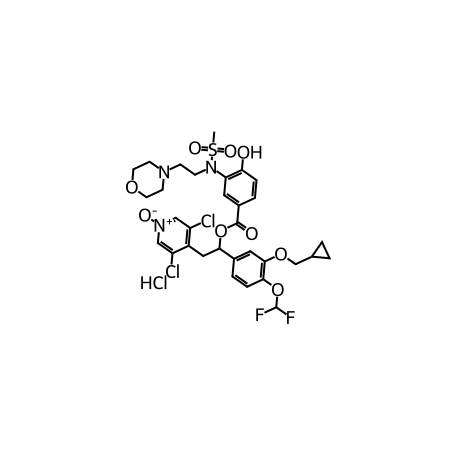 CS(=O)(=O)N(CCN1CCOCC1)c1cc(C(=O)OC(Cc2c(Cl)c[n+]([O-])cc2Cl)c2ccc(OC(F)F)c(OCC3CC3)c2)ccc1O.Cl